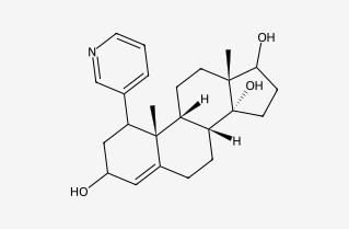 C[C@@]12C(=CC(O)CC1c1cccnc1)CC[C@@H]1[C@H]2CC[C@]2(C)C(O)CC[C@@]12O